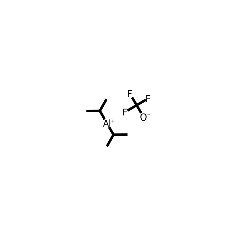 C[CH](C)[Al+][CH](C)C.[O-]C(F)(F)F